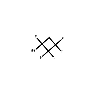 [CH2]C(C)C1(F)[CH]C(F)(F)C1(F)F